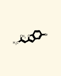 CC(C)=Cc1cc2cc(Br)ccc2o1